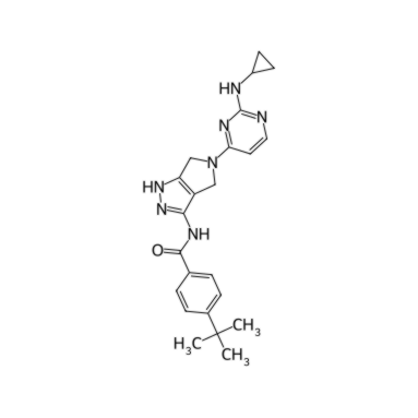 CC(C)(C)c1ccc(C(=O)Nc2n[nH]c3c2CN(c2ccnc(NC4CC4)n2)C3)cc1